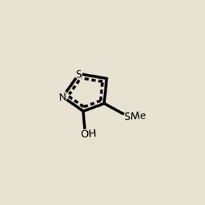 CSc1csnc1O